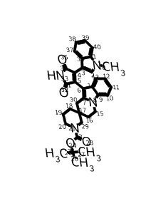 Cn1cc(C2=C(c3c4n(c5ccccc35)CCC3(CCCN(C(=O)OC(C)(C)C)C3)C4)C(=O)NC2=O)c2ccccc21